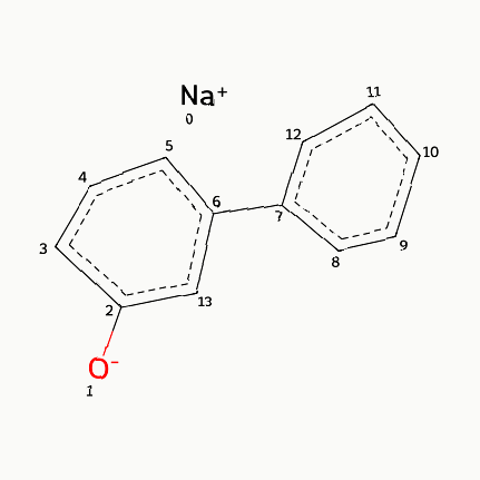 [Na+].[O-]c1cccc(-c2ccccc2)c1